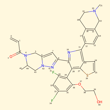 C=CC(=O)N1Cc2cc(-c3nc(-c4ccc5c(c4)CCN(C)C5)c4ccsc4c3-c3c(F)cc(F)cc3OCCO)nn2CC1C